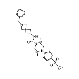 C[C@@H]1CN(c2ncc(S(=O)(=O)C3CC3)cn2)[C@@H](C)CN1C(=O)NC1CC2(C1)CN(Cc1ccccc1)C2